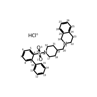 Cl.O=S(=O)(c1ccccc1-c1ccccc1)N1CCC(CN2CCc3ccccc3C2)CC1